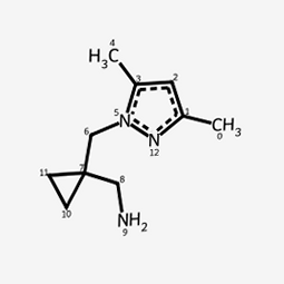 Cc1cc(C)n(CC2(CN)CC2)n1